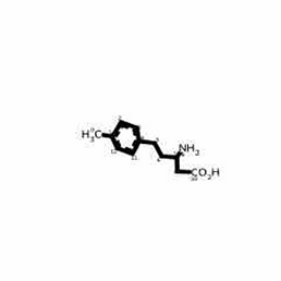 Cc1ccc(CCC(N)CC(=O)O)cc1